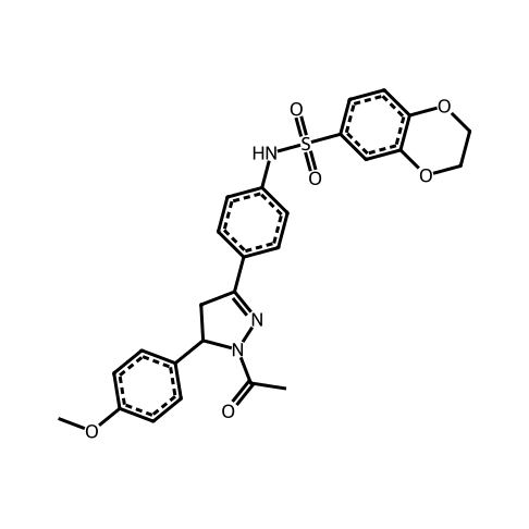 COc1ccc(C2CC(c3ccc(NS(=O)(=O)c4ccc5c(c4)OCCO5)cc3)=NN2C(C)=O)cc1